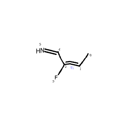 C/C=C(/F)C=N